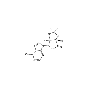 C=C1C[C@@H](n2ccc3c(Cl)ncnc32)[C@@H]2OC(C)(C)O[C@H]12